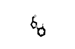 O=CC1CCN(c2ccccc2F)C1